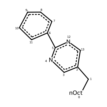 CCCCCCCCCc1cnc(-c2cc[c]cc2)nc1